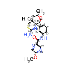 COc1cnc(C(=O)Nc2cccc([C@]34CO[C@@H](C)C[C@@]3(C)CSC(N)=N4)c2)cn1